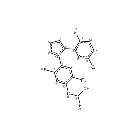 Fc1cc(-n2cccc2-c2cc(Cl)ccc2F)c(F)cc1OC(F)F